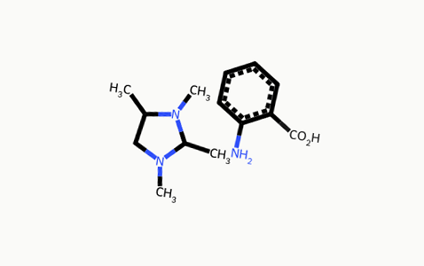 CC1CN(C)C(C)N1C.Nc1ccccc1C(=O)O